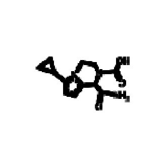 NC(=O)C1c2ccc(C3CC3)n2CCN1C(=O)O